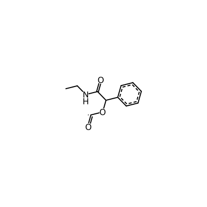 CCNC(=O)C(O[C]=O)c1ccccc1